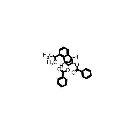 CC(C)c1cccc2c1[C@H]1C[C@@H]2[C@H](OC(=O)c2ccccc2)[C@@H]1OC(=O)c1ccccc1